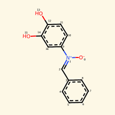 [O-][N+](=Cc1ccccc1)c1ccc(O)c(O)c1